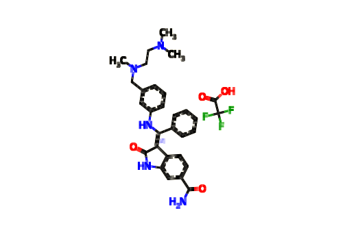 CN(C)CCN(C)Cc1cccc(N/C(=C2\C(=O)Nc3cc(C(N)=O)ccc32)c2ccccc2)c1.O=C(O)C(F)(F)F